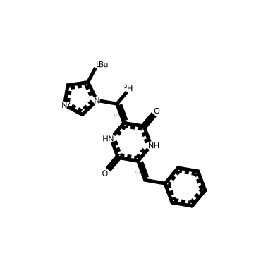 [2H]/C(=c1/[nH]c(=O)/c(=C/c2ccccc2)[nH]c1=O)n1cncc1C(C)(C)C